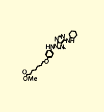 COC(=O)CCCCCCOc1ccc(NN2CN(C)c3c(NC4CCCCC4)ncnc32)cc1